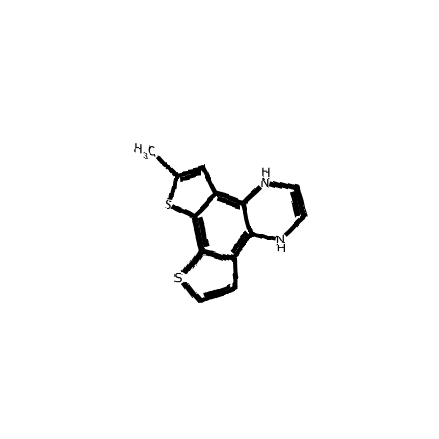 Cc1cc2c3c(c4ccsc4c2s1)NC=CN3